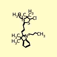 CCCC[N+]1=C(/C=C/C=C2\SC(Cl)C(C)(C)N2CC)C(C)(C)c2ccccc21